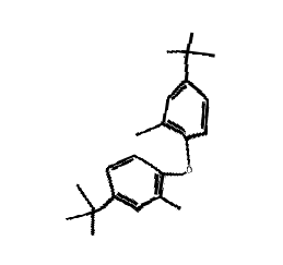 Cc1cc(C(C)(C)C)ccc1Oc1ccc(C(C)(C)C)cc1C